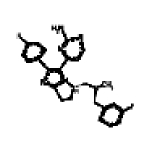 CN(Cc1cccc(F)c1)C[C@@H]1CCc2nc(-c3ccc(F)cc3)c(-c3ccnc(N)n3)n21